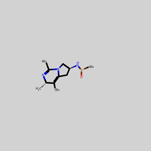 C[C@@H]1N=C(C(C)(C)C)N2C[C@@H](N[S+]([O-])C(C)(C)C)CC2=C1C(C)(C)C